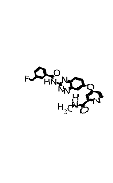 CNC(=O)c1cc(Oc2ccc3nc(NC(=O)c4cccc(CF)c4)nnc3c2)ccn1